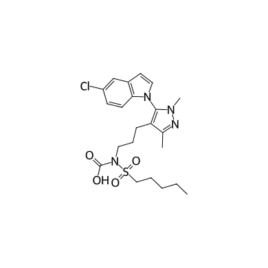 CCCCCS(=O)(=O)N(CCCc1c(C)nn(C)c1-n1ccc2cc(Cl)ccc21)C(=O)O